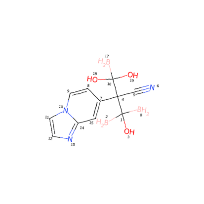 BC(B)(O)C(C#N)(c1ccn2ccnc2c1)C(B)(O)O